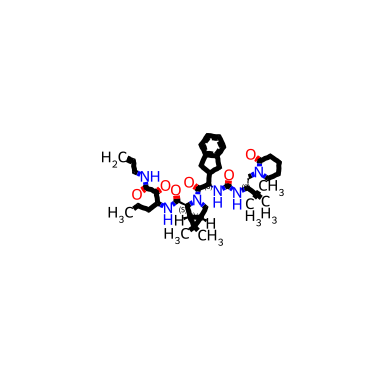 C=CCNC(=O)C(=O)C(CCC)NC(=O)[C@@H]1[C@@H]2[C@H](CN1C(=O)[C@@H](NC(=O)N[C@H](CN1CCCCC1=O)C(C)(C)C)C1Cc3ccccc3C1)C2(C)C